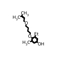 CCc1cc(O)cc(C)c1OCCCCOCC=C(C)C